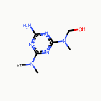 CCN(C)c1nc(N)nc(N(C)CO)n1